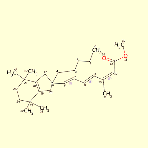 CCCCCC1(/C=C/C=C/C(C)=C\C(=O)OC)CC2=C(C1)C(C)(C)CCC2(C)C